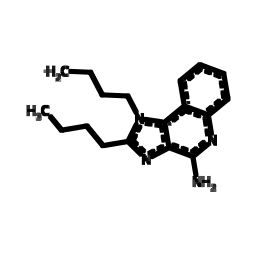 [CH2]CCCn1c(CCCC)nc2c(N)nc3ccccc3c21